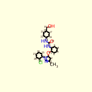 Cc1cc(Oc2ccccc2NC(=O)Nc2ccc(CO)cc2)n(-c2ccccc2Cl)n1